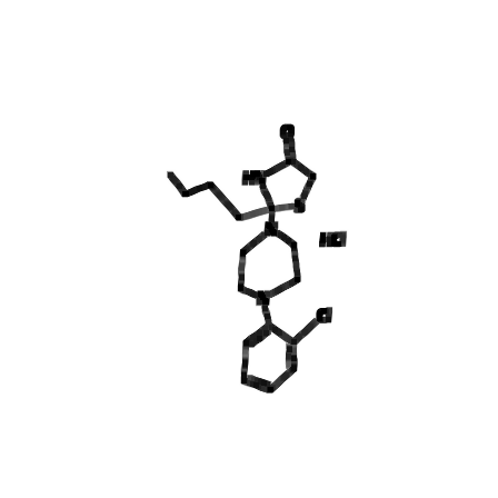 CCCCC1(N2CCN(c3ccccc3Cl)CC2)NC(=O)CS1.Cl